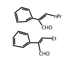 CCC=C(C=O)c1ccccc1.CCCC=C(C=O)c1ccccc1